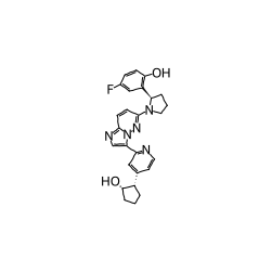 Oc1ccc(F)cc1[C@H]1CCCN1c1ccc2ncc(-c3cc([C@@H]4CCC[C@@H]4O)ccn3)n2n1